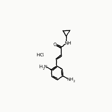 Cl.Nc1ccc(N)c(C=CC(=O)NC2CC2)c1